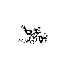 CCOC(=O)C1=C(C)N(c2cccc(C(F)(F)F)c2)C(=O)N(CC(N)=O)[C@@H]1c1ccc(C#N)cc1